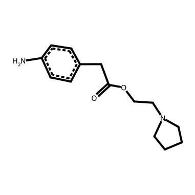 Nc1ccc(CC(=O)OCCN2CCCC2)cc1